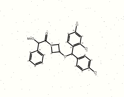 COC(C(=O)N1CC(OC(c2ccc(Cl)cc2)c2ccc(Cl)cc2Cl)C1)c1ccccc1